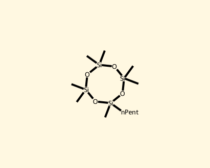 [CH2]CCCC[Si]1(C)O[Si](C)(C)O[Si](C)(C)O[Si](C)(C)O1